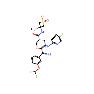 CC1(NC(=O)C2COC(C(=N)c3cccc(OC(F)F)c3)=C(Nc3ccc(F)cn3)C2)CS(=O)(=O)C1